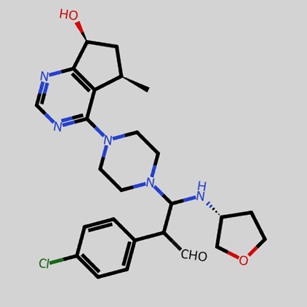 C[C@@H]1C[C@H](O)c2ncnc(N3CCN(C(N[C@@H]4CCOC4)C(C=O)c4ccc(Cl)cc4)CC3)c21